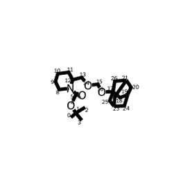 CC(C)(C)OC(=O)N1CCCCC1COCOC12CC3CC(CC(C3)C1)C2